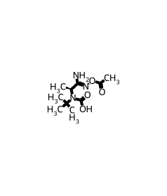 CC(=O)O/N=C(\N)[C@H](C)N(C(=O)O)C(C)(C)C